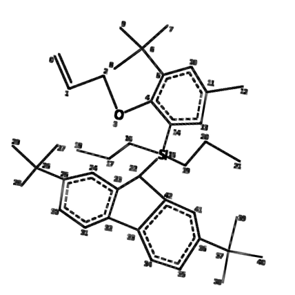 C=CCOc1c(C(C)(C)C)cc(C)cc1[Si](CCC)(CCC)C1c2cc(C(C)(C)C)ccc2-c2ccc(C(C)(C)C)cc21